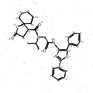 CC(C)N(CC(=O)Nc1nc(-c2ccccc2)sc1-c1ccccc1)C(=O)C1CC(=O)OC12CCCCC2